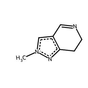 Cn1cc2c(n1)CCN=C2